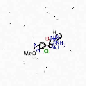 COc1cnc2ccc(-c3c[nH]c4nc(N5C6CC[C@H]5C[C@H]6N)n(C)c(=O)c34)c(Cl)c2n1